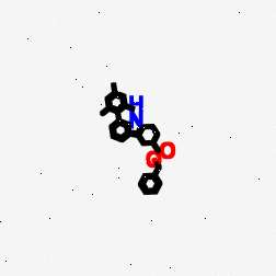 Cc1cc(C)c(-c2cccc3c4c([nH]c23)CCC(C(=O)OCc2ccccc2)C4)c(C)c1